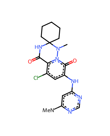 CNc1cc(Nc2cc(Cl)c3n(c2=O)N(C)C2(CCCCC2)NC3=O)ncn1